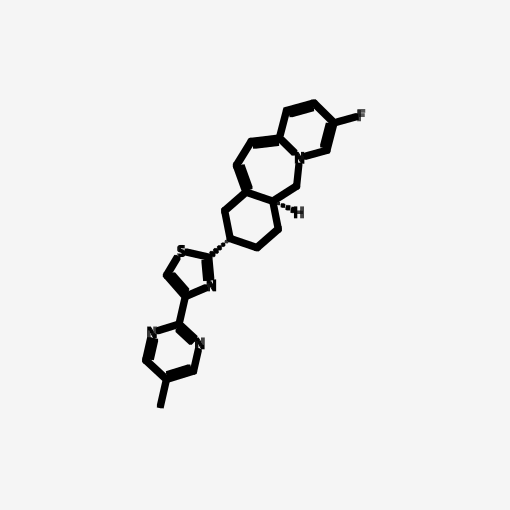 Cc1cnc(-c2csc([C@H]3CC[C@@H]4CN5C=C(F)C=CC5=CC=C4C3)n2)nc1